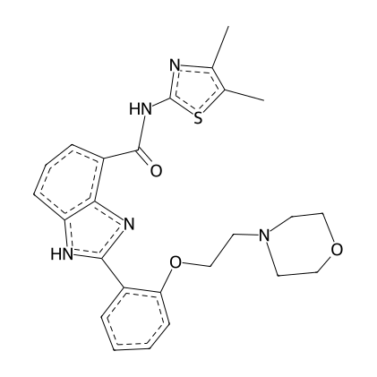 Cc1nc(NC(=O)c2cccc3[nH]c(-c4ccccc4OCCN4CCOCC4)nc23)sc1C